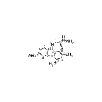 CSc1ccc(C2=NCC(NN)=Nc3c(C)cc(C)cc32)cc1